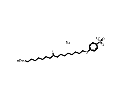 CCCCCCCCCCCCCCCCCC(F)CCCCCCCCOc1ccc(S(=O)(=O)[O-])cc1.[Na+]